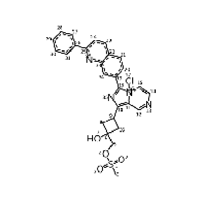 CS(=O)(=O)OCC1(O)CC(C2=C3C=NC=C[N+]3(Cl)C(c3ccc4ccc(-c5ccccc5)nc4c3)=N2)C1